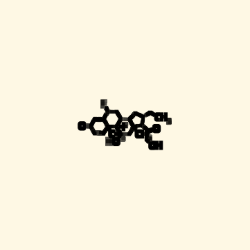 CC[C@@H]1CC2C3C[C@H](F)C4=CC(=O)C=CC4(C)[C@@]3(F)C(O)CC2(C)C1C(=O)CO